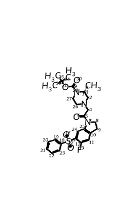 C[C@@H]1CN(CC(=O)N2CCc3cc(F)c(S(=O)(=O)c4ccccc4)cc32)CCN1C(=O)OC(C)(C)C